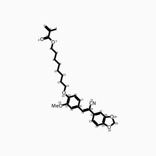 C=C(C)C(=O)OCCCCCCCCOc1ccc(C=C(C#N)c2ccc3c(c2)OCO3)cc1OC